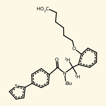 [2H]C([2H])(c1ccccc1OCCCCCC(=O)O)N(C(=O)c1ccc(-c2cccs2)cc1)C(C)CC